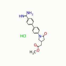 COC(=O)CC1CC(=O)N(c2ccc(-c3ccc(C(=N)N)cc3)cc2)C1.Cl